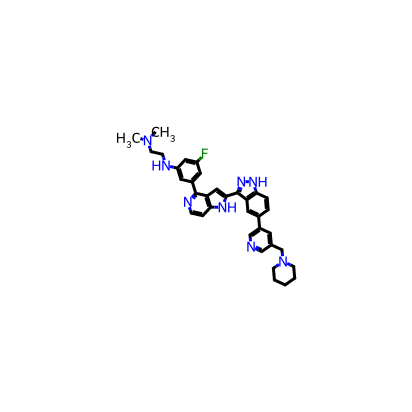 CN(C)CCNc1cc(F)cc(-c2nccc3[nH]c(-c4n[nH]c5ccc(-c6cncc(CN7CCCCC7)c6)cc45)cc23)c1